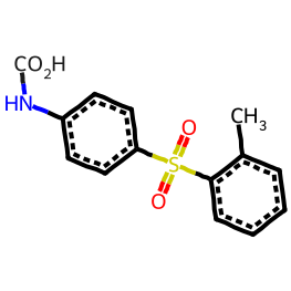 Cc1ccccc1S(=O)(=O)c1ccc(NC(=O)O)cc1